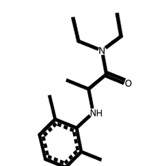 CCN(CC)C(=O)C(C)Nc1c(C)cccc1C